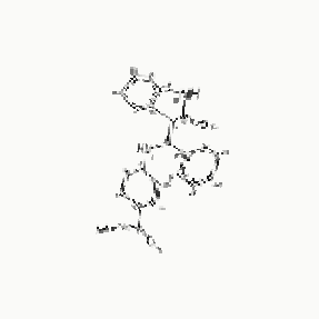 CNC(=O)c1ccc(NC(=C2C(=O)Nc3ccccc32)c2ccccc2)cc1